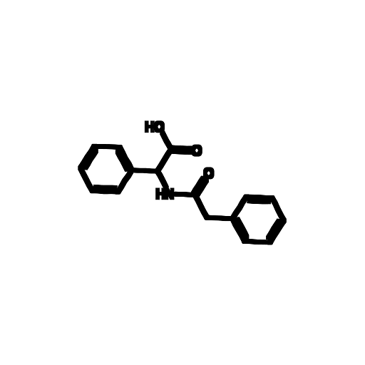 O=C(Cc1ccccc1)NC(C(=O)O)c1ccccc1